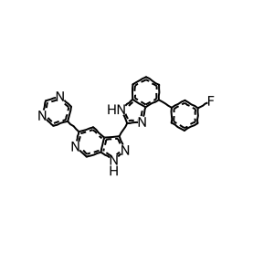 Fc1cccc(-c2cccc3[nH]c(-c4n[nH]c5cnc(-c6cncnc6)cc45)nc23)c1